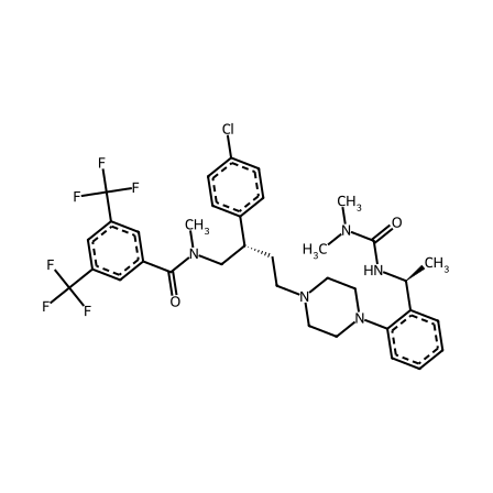 C[C@H](NC(=O)N(C)C)c1ccccc1N1CCN(CC[C@H](CN(C)C(=O)c2cc(C(F)(F)F)cc(C(F)(F)F)c2)c2ccc(Cl)cc2)CC1